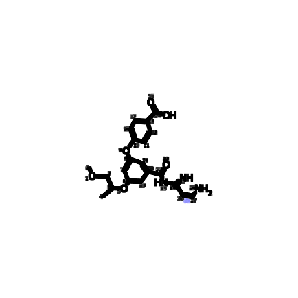 COCC(C)Oc1cc(Oc2ccc(C(=O)O)cc2)cc(C(=O)NC(=N)/C=C\N)c1